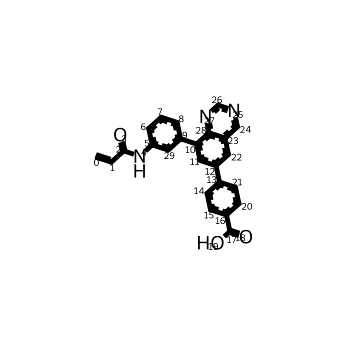 C=CC(=O)Nc1cccc(-c2cc(-c3ccc(C(=O)O)cc3)cc3cncnc23)c1